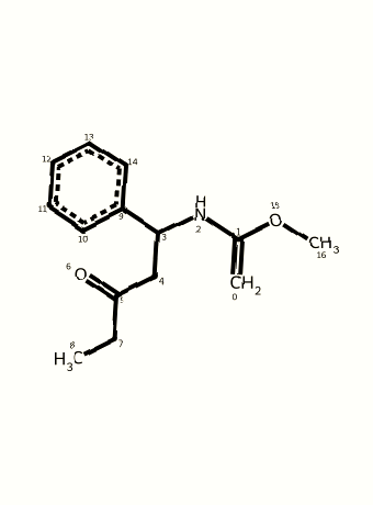 C=C(NC(CC(=O)CC)c1ccccc1)OC